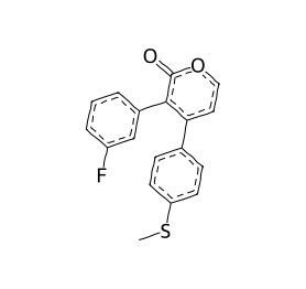 CSc1ccc(-c2ccoc(=O)c2-c2cccc(F)c2)cc1